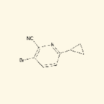 N#Cc1nc(C2CC2)ccc1Br